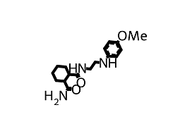 COc1ccc(NCCNC(=O)C2CCCCC2C(N)=O)cc1